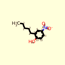 CCCCCc1cc([N+](=O)[O-])ccc1O